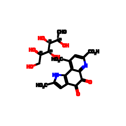 O=C(O)c1cc(C(=O)O)c2c(n1)C(=O)C(=O)c1cc(C(=O)O)[nH]c1-2.O=C[C@H](O)[C@@H](O)[C@H](O)[C@H](O)CO